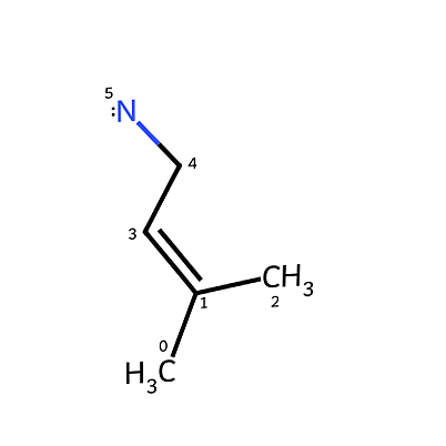 CC(C)=CC[N]